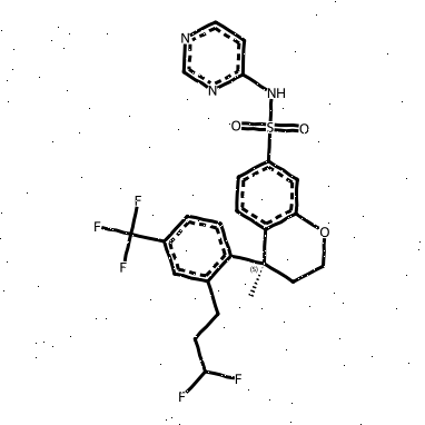 C[C@@]1(c2ccc(C(F)(F)F)cc2CCC(F)F)CCOc2cc(S(=O)(=O)Nc3ccncn3)ccc21